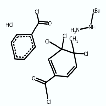 CC(C)(C)NN.CC1(Cl)C=CC(C(=O)Cl)=CC1(Cl)Cl.Cl.O=C(Cl)c1ccccc1